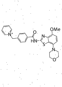 COc1ccc(N2CCOCC2)c2sc(NC(=O)c3ccc(C[n+]4ccccc4)cc3)nc12